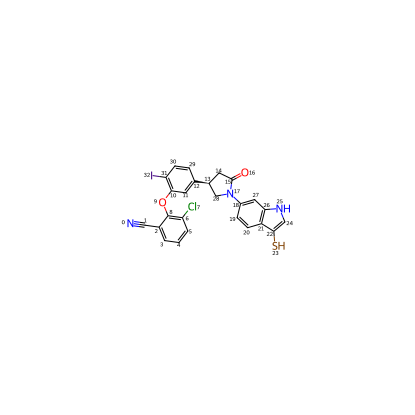 N#Cc1cccc(Cl)c1Oc1cc([C@H]2CC(=O)N(c3ccc4c(S)c[nH]c4c3)C2)ccc1I